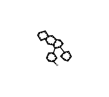 Brc1cccc(-c2c(-c3ccccc3)ccc3cc4ccccc4cc23)c1